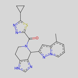 Cc1cccn2nc(C3c4nc[nH]c4CCN3C(=O)c3nnc(C4CC4)s3)cc12